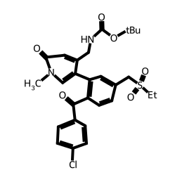 CCS(=O)(=O)Cc1ccc(C(=O)c2ccc(Cl)cc2)c(-c2cn(C)c(=O)cc2CNC(=O)OC(C)(C)C)c1